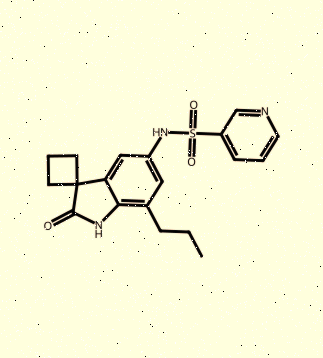 CCCc1cc(NS(=O)(=O)c2cccnc2)cc2c1NC(=O)C21CCC1